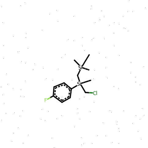 C[Si](C)(C)C[Si](C)(CCl)c1ccc(F)cc1